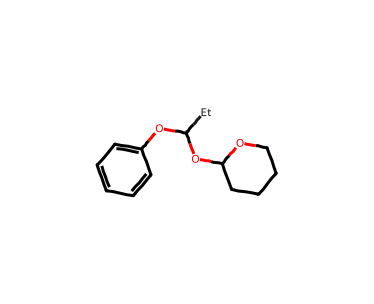 CC[C](Oc1ccccc1)OC1CCCCO1